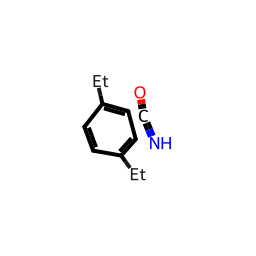 CCc1ccc(CC)cc1.N=C=O